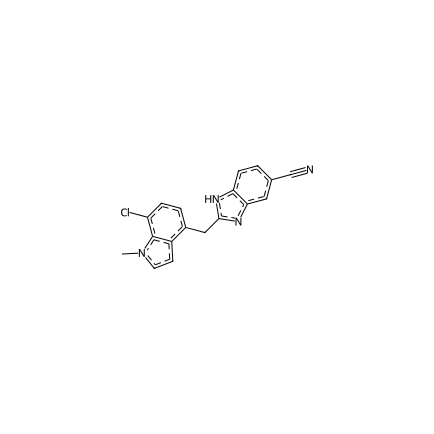 Cn1ccc2c(Cc3nc4cc(C#N)ccc4[nH]3)ccc(Cl)c21